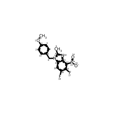 COc1ccc(Cn2c(C)nc3c([N+](=O)[O-])c(F)c(F)cc32)cc1